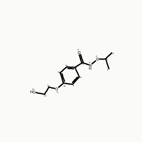 CC(C)ONC(=O)c1ccc(OCCO)cc1